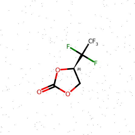 O=C1OC[C@H](C(F)(F)C(F)(F)F)O1